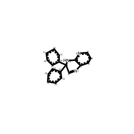 C1=Nc2cccnc2NC1(c1ccccc1)c1ccccc1